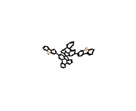 c1ccc2c(c1)sc1cc(-c3cc4c5c(c3)c3ccccc3c3cccc(c35)C43c4cccc5c6ccccc6c6cc(-c7ccc8c(c7)sc7ccccc78)cc3c6c45)ccc12